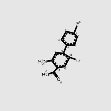 Nc1cc(-c2ccc(F)cc2)c(I)cc1C(=O)O